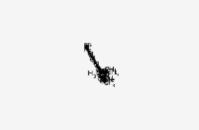 CO[C@H]1O[C@](C)(COCCOCCOCCOCCN=[N+]=[N-])[C@@H]2OC(C)(C)O[C@@H]2[C@H]1NC(=O)C(F)(F)F